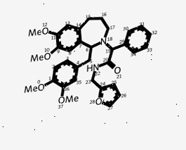 COc1ccc(CC2c3cc(OC)c(OC)cc3CCCN2C(C(=O)NCc2ccco2)c2ccccc2)cc1OC